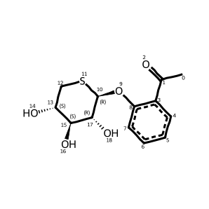 CC(=O)c1ccccc1O[C@@H]1SC[C@@H](O)[C@H](O)[C@H]1O